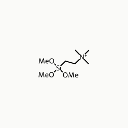 CO[Si](CC[N+](C)(C)C)(OC)OC